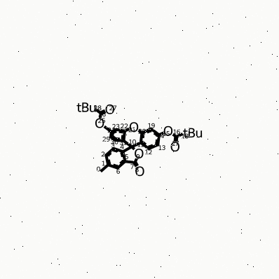 Cc1ccc2c(c1)C(=O)OC21c2ccc(OC(=O)C(C)(C)C)cc2Oc2cc(OC(=O)C(C)(C)C)ccc21